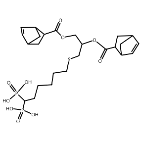 O=C(OCC(CSCCCCCC(P(=O)(O)O)P(=O)(O)O)OC(=O)C1CC2C=CC1C2)C1CC2C=CC1C2